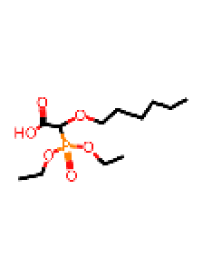 CCCCCCOC(C(=O)O)P(=O)(OCC)OCC